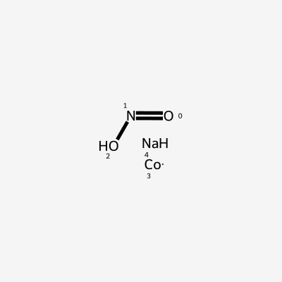 O=NO.[Co].[NaH]